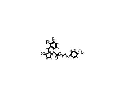 COc1ccc(SCCOC(=O)CC2CCC(=O)N2Cc2cccc(F)c2F)cc1